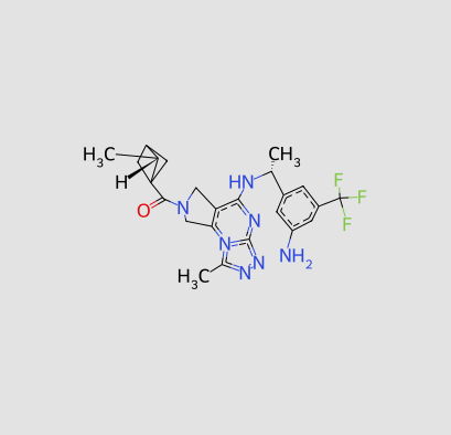 Cc1nnc2nc(N[C@H](C)c3cc(N)cc(C(F)(F)F)c3)c3c(n12)CN(C(=O)C12CC(C1)[C@H]2C)C3